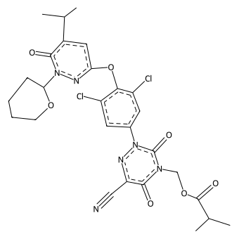 CC(C)C(=O)OCn1c(=O)c(C#N)nn(-c2cc(Cl)c(Oc3cc(C(C)C)c(=O)n(C4CCCCO4)n3)c(Cl)c2)c1=O